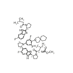 COC(=O)N[C@H](C(=O)N1CCC[C@H]1c1nc2cc([C@H]3CC[C@H](c4cc5nc([C@@H]6CCCN6C(=O)[CH]C(C)C)[nH]c5cc4F)N3c3cc(F)c(N4CCC5(CCCCC5)CC4)c(F)c3)c(F)cc2[nH]1)C(C)C